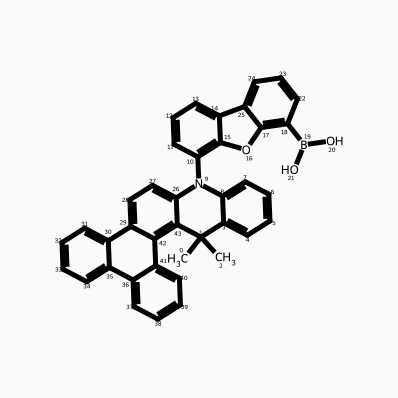 CC1(C)c2ccccc2N(c2cccc3c2oc2c(B(O)O)cccc23)c2ccc3c4ccccc4c4ccccc4c3c21